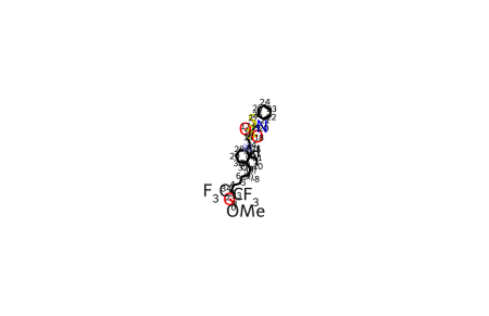 COCOC(CCC[C@@H](C)[C@H]1CC[C@H]2/C(=C/CS(=O)(=O)c3nc4ccccc4s3)CCC[C@]12C)(C(F)(F)F)C(F)(F)F